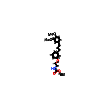 COc1ccc(CC[CH]c2cccc(OCCNC(=O)OC(C)(C)C)c2)cc1OC